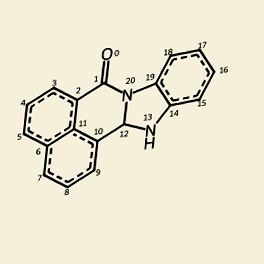 O=C1c2cccc3cccc(c23)C2Nc3ccccc3N12